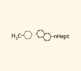 CCCCCCCc1ccc2cc([C@H]3CC[C@H](C)CC3)ccc2c1